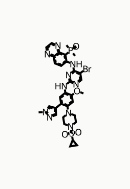 COc1cc(N2CCN(S(=O)(=O)C3CC3)CC2)c(-c2cnn(C)c2)cc1Nc1ncc(Br)c(Nc2ccc3nccnc3c2P(C)(C)=O)n1